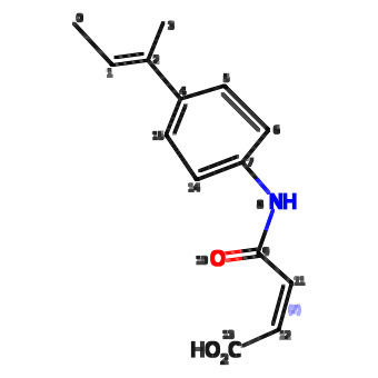 CC=C(C)c1ccc(NC(=O)/C=C\C(=O)O)cc1